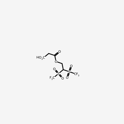 O=C(O)CC(=O)OCC(S(=O)(=O)C(F)(F)F)S(=O)(=O)C(F)(F)F